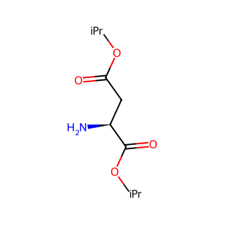 CC(C)OC(=O)C[C@H](N)C(=O)OC(C)C